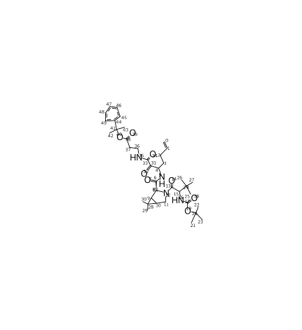 C=CCCC(NC(=O)[C@@H]1C2C(CN1C(=O)C(NC(=O)OC(C)(C)C)C(C)(C)C)C2(C)C)C(=O)C(=O)NCCC(=O)OC(C)(C)c1ccccc1